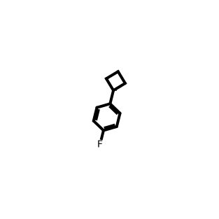 Fc1ccc([C]2CCC2)cc1